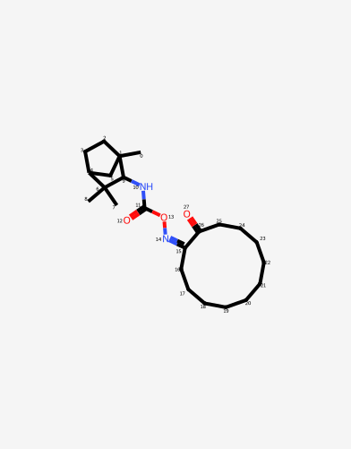 CC12CCC(C1)C(C)(C)C2NC(=O)ON=C1CCCCCCCCCCC1=O